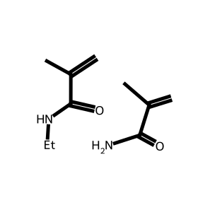 C=C(C)C(=O)NCC.C=C(C)C(N)=O